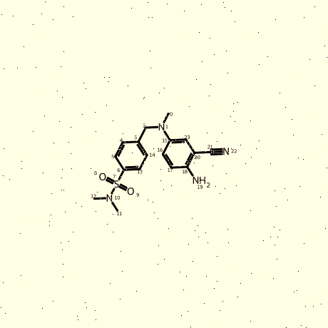 CN(Cc1ccc(S(=O)(=O)N(C)C)cc1)c1ccc(N)c(C#N)c1